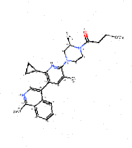 COCCC(=O)N1CCN(c2nc(C3CC3)c(-c3cnc(OC)c4ccccc34)cc2C#N)C[C@H]1C